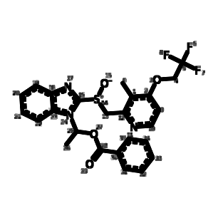 Cc1c(OCC(F)(F)F)ccnc1C[S+]([O-])c1nc2ccccc2n1C(C)OC(=O)c1ccccc1